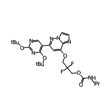 CC(C)NC(=O)OCC(F)(F)COc1cc(-c2cnc(OC(C)(C)C)nc2OC(C)(C)C)nn2ccnc12